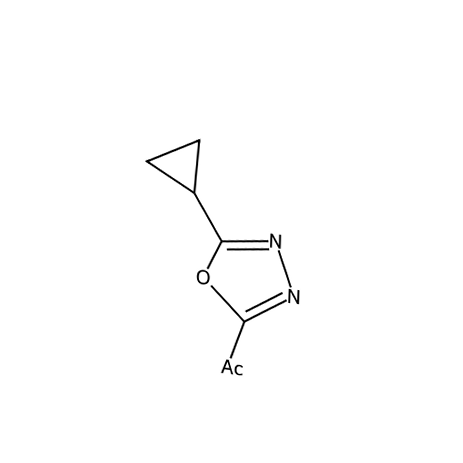 CC(=O)c1nnc(C2CC2)o1